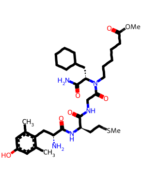 COC(=O)CCCCCN(C(=O)CNC(=O)[C@@H](CCSC)NC(=O)[C@H](N)Cc1c(C)cc(O)cc1C)[C@@H](CC1CCCCC1)C(N)=O